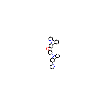 c1ccc(-c2ccc3c(c2)c2ccccc2n3-c2ccc3oc4ccc(-c5ccccc5-c5ccccn5)cc4c3c2)nc1